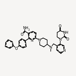 CN(Cc1ccncc1N1CCC(=O)NC1=O)C1CCN(c2ccc(C(N)=O)c(-c3ccc(Oc4ccccc4)cc3)n2)CC1